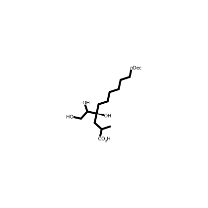 CCCCCCCCCCCCCCCC[C@](O)(CC(C)C(=O)O)C(O)CO